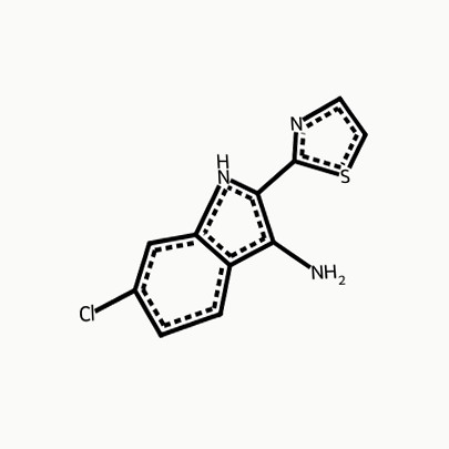 Nc1c(-c2nccs2)[nH]c2cc(Cl)ccc12